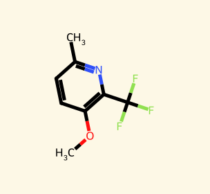 COc1ccc(C)nc1C(F)(F)F